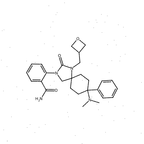 CN(C)C1(c2ccccc2)CCC2(CC1)CN(c1ccccc1C(N)=O)C(=O)N2CC1COC1